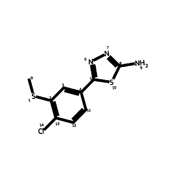 CSc1cc(-c2nnc(N)s2)ccc1Cl